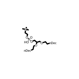 CCCCCCCCCCCCOCC(COP(=O)(O)OCC[N+](C)(C)C)OCCCCCCCCCCCC